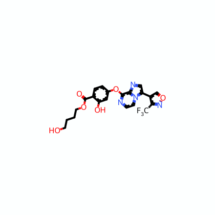 O=C(OCCCCO)c1ccc(Oc2nccn3c(-c4conc4C(F)(F)F)cnc23)cc1O